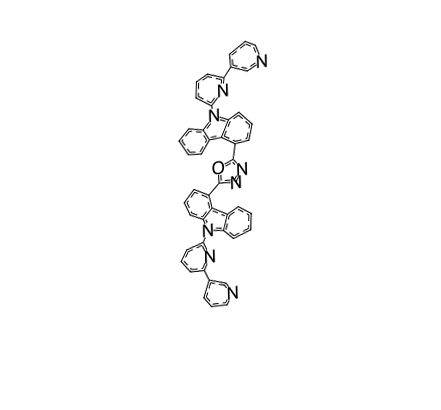 c1cncc(-c2cccc(-n3c4ccccc4c4c(-c5nnc(-c6cccc7c6c6ccccc6n7-c6cccc(-c7cccnc7)n6)o5)cccc43)n2)c1